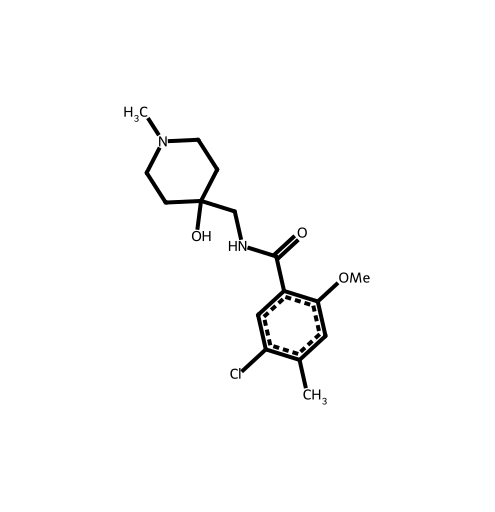 COc1cc(C)c(Cl)cc1C(=O)NCC1(O)CCN(C)CC1